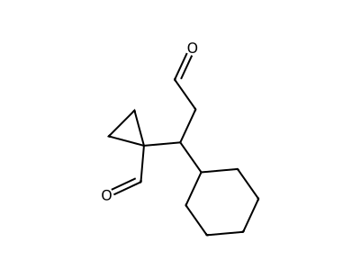 O=CCC(C1CCCCC1)C1(C=O)CC1